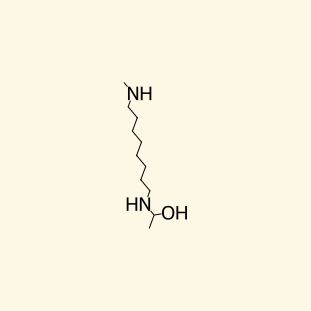 CNCCCCCCCCNC(C)O